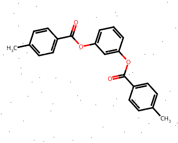 Cc1ccc(C(=O)Oc2c[c]cc(OC(=O)c3ccc(C)cc3)c2)cc1